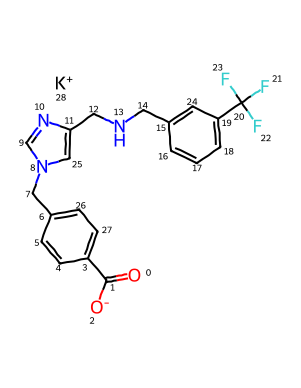 O=C([O-])c1ccc(Cn2cnc(CNCc3cccc(C(F)(F)F)c3)c2)cc1.[K+]